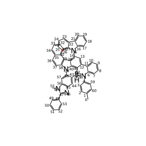 Cc1ccc(Nc2ccccc2-c2cc(-n3c4ccccc4c4ccccc43)c3c4c5ccccc5ccc4n4c3c2Bc2cc3nc(-c5ccccc5)n(C)c3cc2-4)cc1